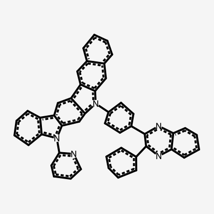 c1ccc(-c2nc3ccccc3nc2-c2ccc(-n3c4cc5ccccc5cc4c4cc5c6ccccc6n(-c6ccccn6)c5cc43)cc2)cc1